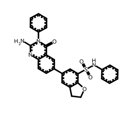 Nc1nc2ccc(-c3cc4c(c(S(=O)(=O)Nc5ccccc5)c3)OCC4)cc2c(=O)n1-c1ccccc1